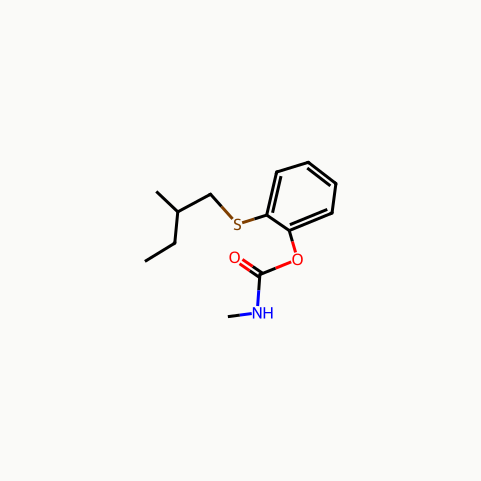 CCC(C)CSc1ccccc1OC(=O)NC